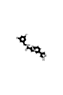 O=C(NCc1cc(F)cc(F)c1)c1cn2cc(-c3cn[nH]c3)ccc2n1